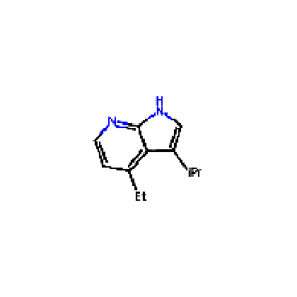 CCc1ccnc2[nH]cc(C(C)C)c12